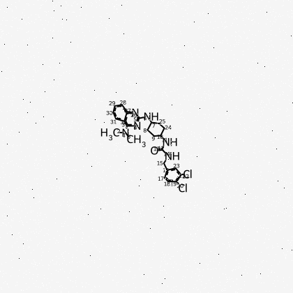 CN(C)c1nc(NC2CCC(NC(=O)NCc3ccc(Cl)c(Cl)c3)CC2)nc2ccccc12